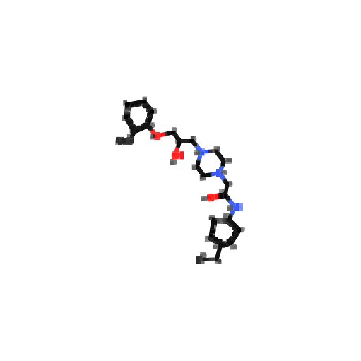 COc1ccccc1OCC(O)CN1CCN(CC(=O)Nc2ccc(CC(C)C)cc2)CC1